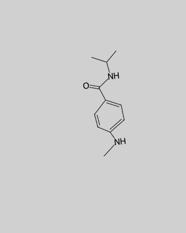 CNc1ccc(C(=O)NC(C)C)cc1